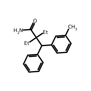 CCC(CC)(C(N)=O)C(c1ccccc1)c1cccc(C)c1